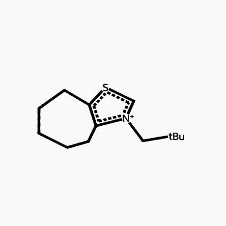 CC(C)(C)C[n+]1csc2c1CCCCC2